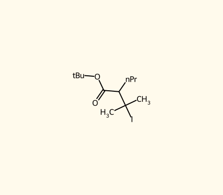 CCCC(C(=O)OC(C)(C)C)C(C)(C)I